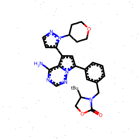 CC(C)(C)C1COC(=O)N1Cc1cccc(-c2cc(-c3ccnn3C3CCOCC3)c3c(N)ncnn23)c1